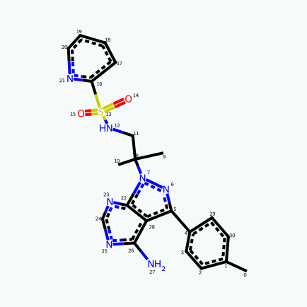 Cc1ccc(-c2nn(C(C)(C)CNS(=O)(=O)c3ccccn3)c3ncnc(N)c23)cc1